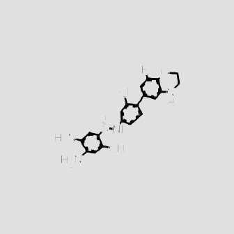 Cc1cc(N)c(N)cc1[S+]([O-])Nc1ccc(-c2cc(F)c3c(c2)NCCO3)c(Cl)c1